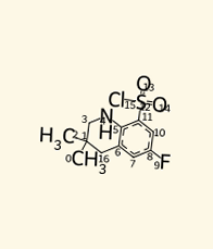 CC1(C)CNc2c(cc(F)cc2S(=O)(=O)Cl)C1